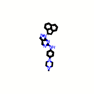 CN1CCN(c2ccc(Nc3ncc4cnn([C@H]5Cc6cccc7cccc5c67)c4n3)cc2)CC1